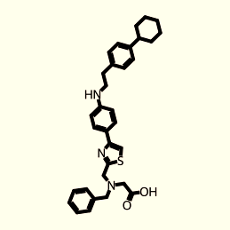 O=C(O)CN(Cc1ccccc1)Cc1nc(-c2ccc(NCCc3ccc(C4CCCCC4)cc3)cc2)cs1